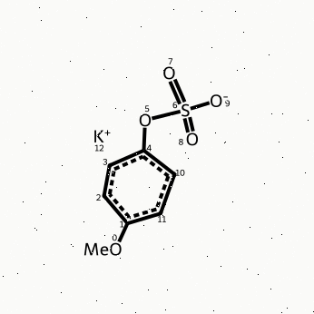 COc1ccc(OS(=O)(=O)[O-])cc1.[K+]